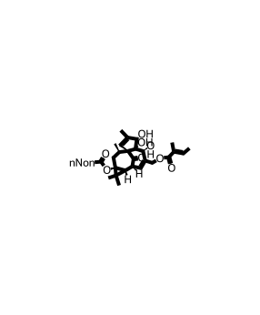 C/C=C(\C)C(=O)OCC1=C[C@@H]2C(=O)[C@]3(C=C(C)[C@H](O)[C@@]3(O)[C@@H]1O)[C@H](C)C[C@]1(OC(=O)CCCCCCCCC)[C@H]2C1(C)C